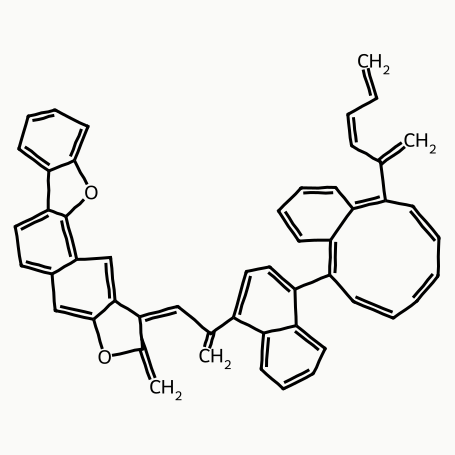 C=C/C=C\C(=C)c1ccccccc(-c2ccc(C(=C)/C=c3\c(=C)oc4cc5ccc6c7ccccc7oc6c5cc34)c3ccccc23)c2ccccc12